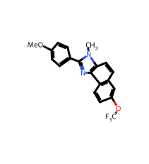 COc1ccc(-c2nc3c4ccc(OC(F)(F)F)cc4ccc3n2C)cc1